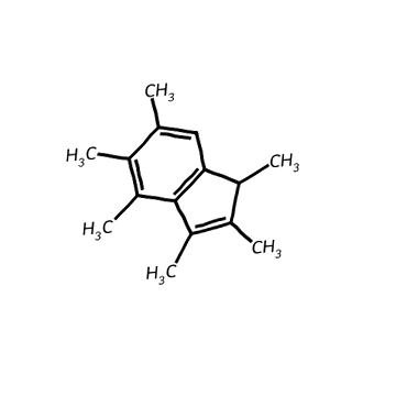 CC1=C(C)C(C)c2cc(C)c(C)c(C)c21